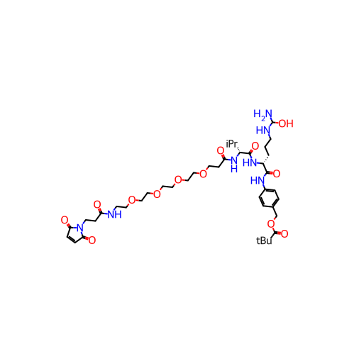 CC(C)[C@@H](NC(=O)CCOCCOCCOCCOCCNC(=O)CCN1C(=O)C=CC1=O)C(=O)N[C@H](CCCNC(N)O)C(=O)Nc1ccc(COC(=O)C(C)(C)C)cc1